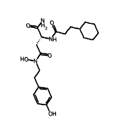 NC(=O)[C@@H](CC(=O)N(O)CCc1ccc(O)cc1)NC(=O)CCC1CCCCC1